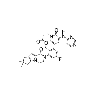 CC(=O)OCc1c(-c2cc(Nc3ccncn3)c(=O)n(C)c2)cc(F)cc1N1CCn2c(cc3c2CC(C)(C)C3)C1=O